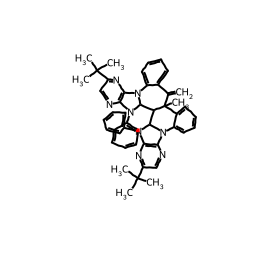 C=C1c2ccccc2N2c3nc(C(C)(C)C)cnc3N(c3ccccc3)C2C2C3N(c4ccccc4)c4nc(C(C)(C)C)cnc4N3c3ccccc3C12C